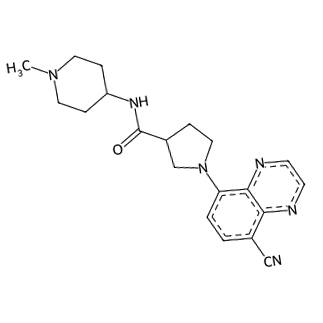 CN1CCC(NC(=O)C2CCN(c3ccc(C#N)c4nccnc34)C2)CC1